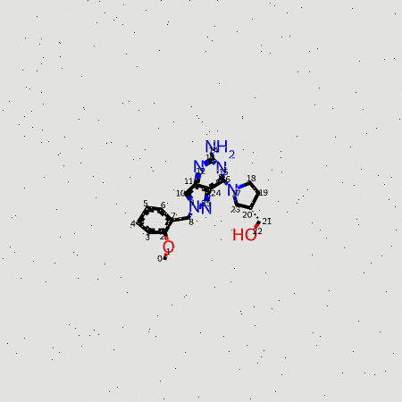 COc1ccccc1Cn1cc2nc(N)nc(N3CC[C@H](CO)C3)c2n1